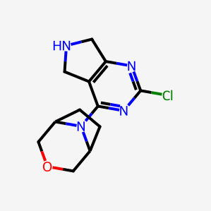 Clc1nc2c(c(N3C4CCC3COC4)n1)CNC2